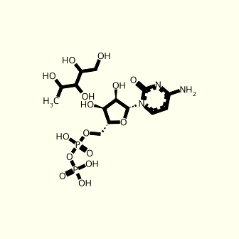 CC(O)C(O)C(O)CO.Nc1ccn([C@@H]2O[C@H](COP(=O)(O)OP(=O)(O)O)[C@@H](O)[C@H]2O)c(=O)n1